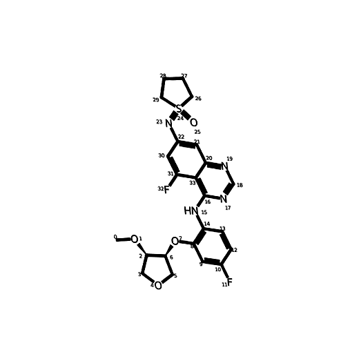 CO[C@@H]1COC[C@@H]1Oc1cc(F)ccc1Nc1ncnc2cc(N=S3(=O)CCCC3)cc(F)c12